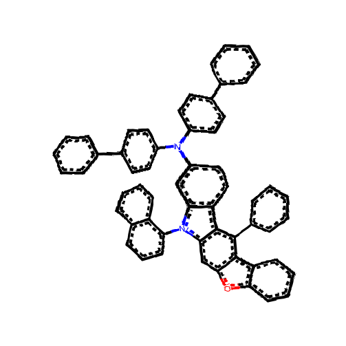 c1ccc(-c2ccc(N(c3ccc(-c4ccccc4)cc3)c3ccc4c5c(-c6ccccc6)c6c(cc5n(-c5cccc7ccccc57)c4c3)oc3ccccc36)cc2)cc1